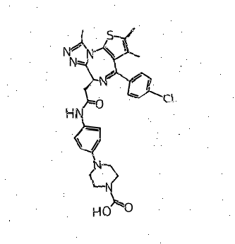 Cc1sc2c(c1C)C(c1ccc(Cl)cc1)=N[C@@H](CC(=O)Nc1ccc(N3CCN(C(=O)O)CC3)cc1)c1nnc(C)n1-2